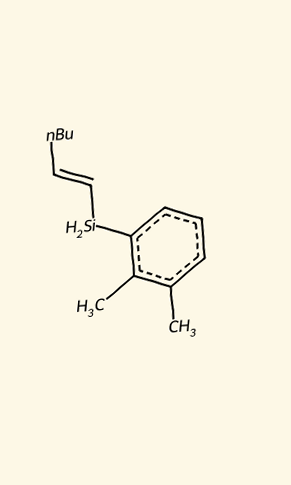 CCCCC=C[SiH2]c1cccc(C)c1C